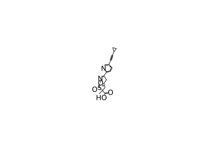 C[S+]([O-])C(C)(CC1CC(c2ccc(C#CC3CC3)cn2)=NO1)C(=O)O